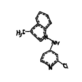 Cc1cn(Nc2ccnc(Cl)c2)c2ccccc12